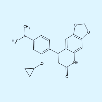 CN(C)c1ccc(C2CC(=O)Nc3cc4c(cc32)OCO4)c(OC2CC2)c1